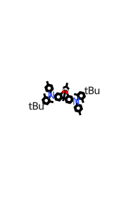 Cc1ccc(N(c2ccc3c(c2)[C@]24CC(C)C[C@]2(CC(C)C4)c2cc(N(c4ccc(C)cc4)c4c(C)cc(C(C)(C)C)cc4C)ccc2-3)c2c(C)cc(C(C)(C)C)cc2C)cc1